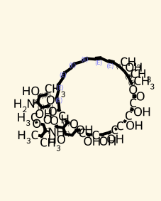 COC(=O)[C@@H](NC(=O)C1[C@@H]2CC(O[C@@H]3O[C@H](C)[C@@H](O)[C@H](N)[C@@H]3O)/C=C/C=C/C=C/C=C/C=C/C=C/C=C/[C@H](C)C(O)[C@@H](C)[C@H](C)OC(=O)CC(O)CC(O)CCC(O)C(O)CC(O)CC(O)(C[C@@H]1O)O2)C(C)C